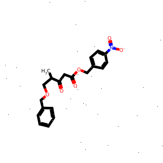 CC(COCc1ccccc1)C(=O)CC(=O)OCc1ccc([N+](=O)[O-])cc1